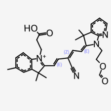 Cc1ccc2c(c1)C(C)(C)C(/C=C/C(C#N)=C/C=C1/N(CCOC=O)c3ncccc3C1(C)C)=[N+]2CCC(=O)O